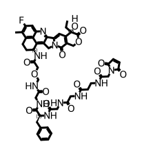 CC[C@@]1(O)C(=O)OCc2c1cc1n(c2=O)Cc2c-1nc1cc(F)c(C)c3c1c2[C@@H](NC(=O)COCNC(=O)CNC(=O)[C@H](Cc1ccccc1)NC(=O)CNC(=O)CNC(=O)CCNC(=O)CN1C(=O)C=CC1=O)CC3